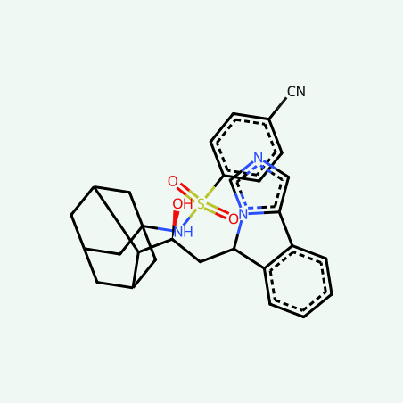 N#Cc1ccc(S(=O)(=O)NC23CC4CC(C2)C([C@@H](O)CC2c5ccccc5-c5cncn52)C(C4)C3)cc1